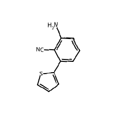 N#Cc1c(N)cccc1-c1cccs1